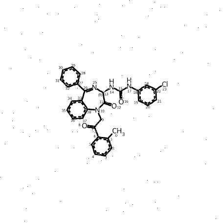 Cc1ccccc1C(=O)CN1C(=O)[C@H](NC(=O)Nc2cccc(Cl)c2)N=C(c2ccccc2)c2ccccc21